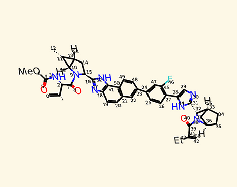 C=C[C@H](NC(=O)OC)C(=O)N1[C@@H]2[C@H](C)[C@@H]2C[C@H]1c1nc2ccc3cc(-c4ccc(-c5cnc([C@@H]6[C@H]7CC[C@H](C7)N6C(=O)C(=C)CC)[nH]5)c(F)c4)ccc3c2[nH]1